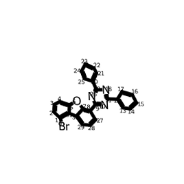 Brc1cccc2oc3c(-c4nc(-c5ccccc5)nc(-c5ccccc5)n4)cccc3c12